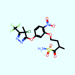 CC(CCOc1cc(OC2=NN=C(C(F)(F)F)C2(C)Cl)ccc1[N+](=O)[O-])C(=O)S(N)(=O)=O